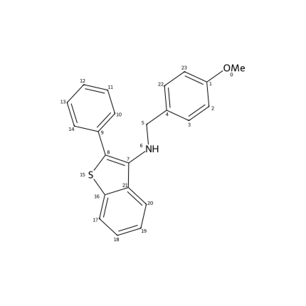 COc1ccc(CNc2c(-c3ccccc3)sc3ccccc23)cc1